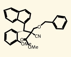 COC(=O)[C@@](C#N)(COCc1ccccc1)[C@H](c1ccccc1OC)c1cccc2ccccc12